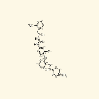 Cc1ccccc1CC(=O)NC(=S)Nc1ccc(Oc2ccnc3cc(C4=CCN(C)CC4)sc23)c(F)c1